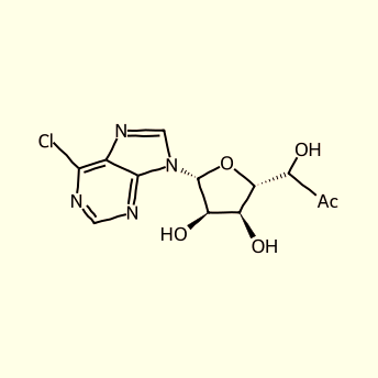 CC(=O)C(O)[C@H]1O[C@@H](n2cnc3c(Cl)ncnc32)[C@H](O)[C@@H]1O